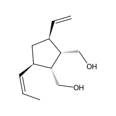 C=C[C@@H]1C[C@H](/C=C\C)[C@@H](CO)[C@H]1CO